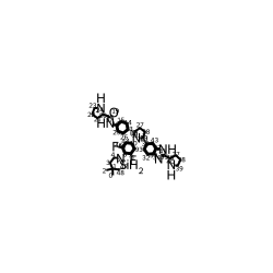 CC1(C)CCN(c2c(F)cc(N3[C@H](c4ccc(NC(=O)C5CCCN5)cc4)CC[C@H]3c3ccc4nc(C5CCCN5)[nH]c4c3)cc2F)[SiH2]C1